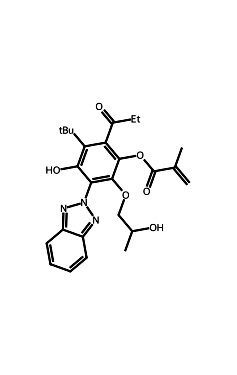 C=C(C)C(=O)Oc1c(OCC(C)O)c(-n2nc3ccccc3n2)c(O)c(C(C)(C)C)c1C(=O)CC